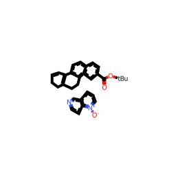 CC(C)(C)OC(=O)c1ccc2ccc3c(c2c1)CCC1=C3C=CCC1.[O-][n+]1cccc2cnccc21